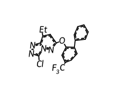 CCc1cc(Oc2cc(C(F)(F)F)ccc2-c2ccccc2)nn2c(Cl)nnc12